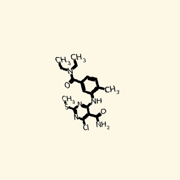 CCN(CC)C(=O)c1ccc(C)c(Nc2nc(SC)nc(Cl)c2C(N)=O)c1